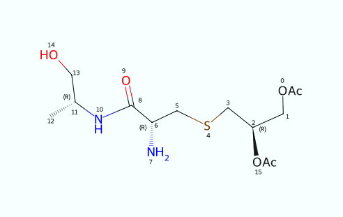 CC(=O)OC[C@H](CSC[C@H](N)C(=O)N[C@H](C)CO)OC(C)=O